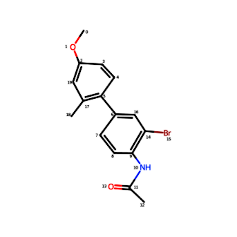 COc1ccc(-c2ccc(NC(C)=O)c(Br)c2)c(C)c1